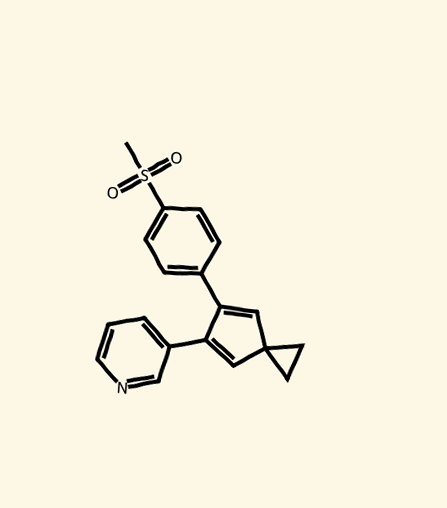 CS(=O)(=O)c1ccc(C2=CC3(C=C2c2cccnc2)CC3)cc1